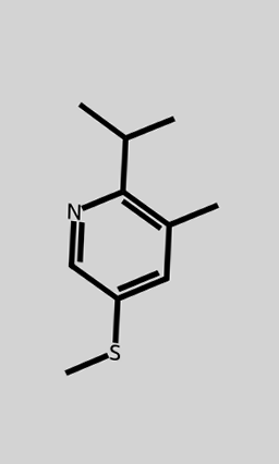 CSc1cnc(C(C)C)c(C)c1